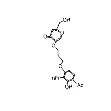 CCCc1c(OCCCOc2coc(CO)cc2=O)ccc(C(C)=O)c1O